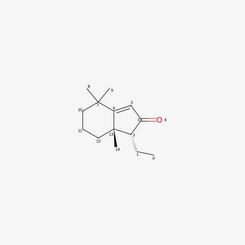 CC[C@H]1C(=O)C=C2C(C)(C)CCC[C@]21C